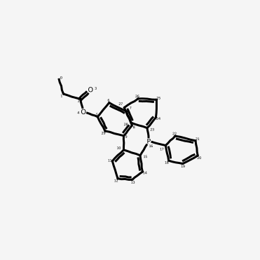 CCC(=O)Oc1cccc(-c2ccccc2P(c2ccccc2)c2ccccc2)c1